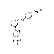 CON=Cc1ccc(OCC2CCCN(c3ccc(C(F)(F)F)nn3)C2)cc1